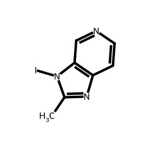 Cc1nc2ccncc2n1I